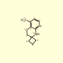 Cc1ccnc2c1OCC1(CCC1)N2